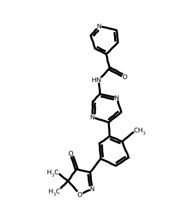 Cc1ccc(C2=NOC(C)(C)C2=O)cc1-c1cnc(NC(=O)c2ccncc2)cn1